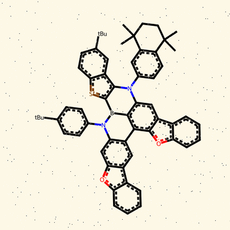 CC(C)(C)c1ccc(N2B3c4sc5ccc(C(C)(C)C)cc5c4N(c4ccc5c(c4)C(C)(C)CCC5(C)C)c4cc5c(oc6ccccc65)c(c43)-c3cc4c(cc32)oc2ccccc24)cc1